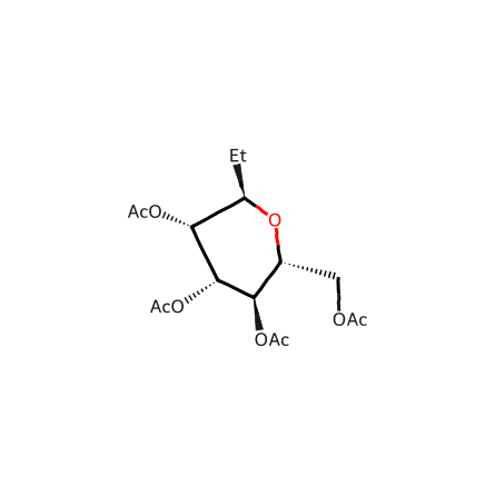 [CH2]C[C@H]1O[C@H](COC(C)=O)[C@@H](OC(C)=O)[C@H](OC(C)=O)[C@@H]1OC(C)=O